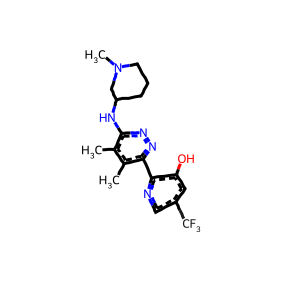 Cc1c(NC2CCCN(C)C2)nnc(-c2ncc(C(F)(F)F)cc2O)c1C